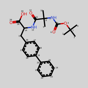 CC(C)(C)OC(=O)NC(C)(C)C(=O)NC(Cc1ccc(-c2ccccc2)cc1)C(=O)O